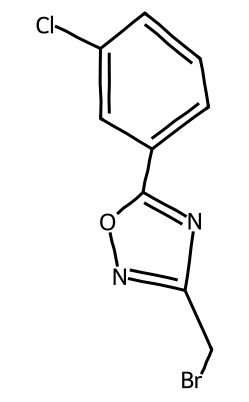 Clc1cccc(-c2nc(CBr)no2)c1